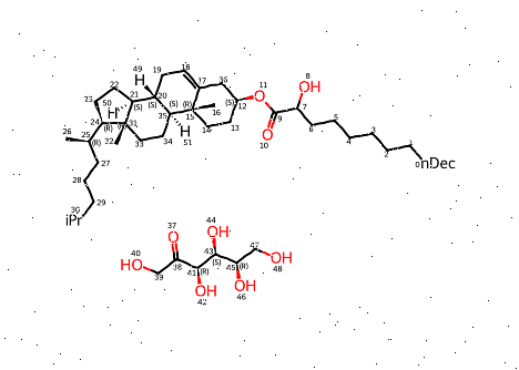 CCCCCCCCCCCCCCCCC(O)C(=O)O[C@H]1CC[C@@]2(C)C(=CC[C@H]3[C@@H]4CC[C@H]([C@H](C)CCCC(C)C)[C@@]4(C)CC[C@@H]32)C1.O=C(CO)[C@H](O)[C@@H](O)[C@H](O)CO